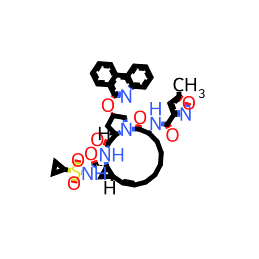 Cc1cc(C(=O)N[C@H]2CCCCCC=C[C@@H]3C[C@@]3(C(=O)NS(=O)(=O)C3CC3)NC(=O)[C@@H]3C[C@@H](Oc4nc5ccccc5c5ccccc45)CN3C2=O)no1